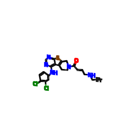 CC(C)CNC/C=C/C(=O)N1CCc2c(sc3ncnc(Nc4ccc(Cl)c(Cl)c4)c23)C1